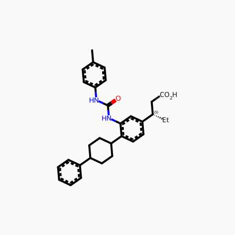 CC[C@@H](CC(=O)O)c1ccc(C2CCC(c3ccccc3)CC2)c(NC(=O)Nc2ccc(C)cc2)c1